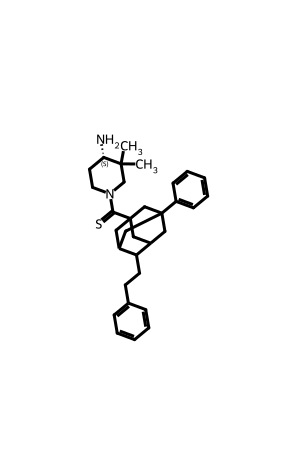 CC1(C)CN(C(=S)C23CC4CC(c5ccccc5)(CC(C2)C4CCc2ccccc2)C3)CC[C@@H]1N